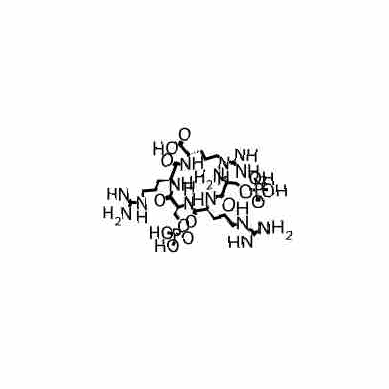 N=C(N)NCCC[C@H](NC(=O)[C@H](CCCNC(=N)N)NC(=O)[C@H](COP(=O)(O)O)NC(=O)[C@H](CCCNC(=N)N)NC(=O)[C@@H](N)COP(=O)(O)O)C(=O)O